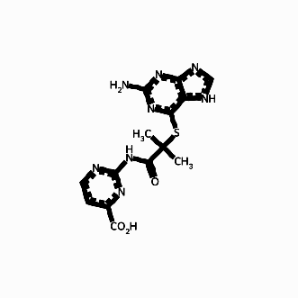 CC(C)(Sc1nc(N)nc2nc[nH]c12)C(=O)Nc1nccc(C(=O)O)n1